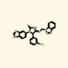 Cc1cccc(C2/C(=N/Cn3nnc4ccccc43)NC(=S)N2c2ccc3[nH]cnc3c2)c1